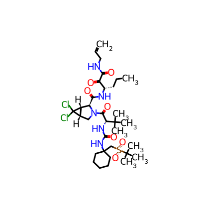 C=CCNC(=O)C(=O)[C@H](CCC)NC(=O)[C@@H]1[C@@H]2[C@H](CN1C(=O)[C@@H](NC(=O)NC1(CS(=O)(=O)C(C)(C)C)CCCCC1)C(C)(C)C)C2(Cl)Cl